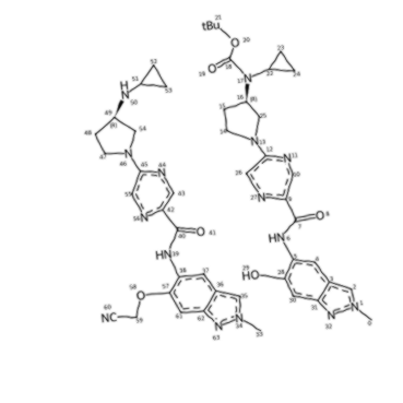 Cn1cc2cc(NC(=O)c3cnc(N4CC[C@@H](N(C(=O)OC(C)(C)C)C5CC5)C4)cn3)c(O)cc2n1.Cn1cc2cc(NC(=O)c3cnc(N4CC[C@@H](NC5CC5)C4)cn3)c(OCC#N)cc2n1